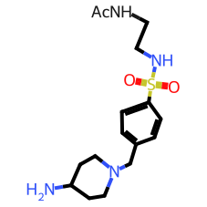 CC(=O)NCCNS(=O)(=O)c1ccc(CN2CCC(N)CC2)cc1